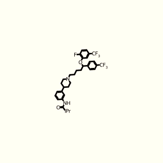 CC(C)C(=O)Nc1cccc(C2CCN(CCCCC(Oc3cc(C(F)(F)F)ccc3F)c3ccc(C(F)(F)F)cc3)CC2)c1